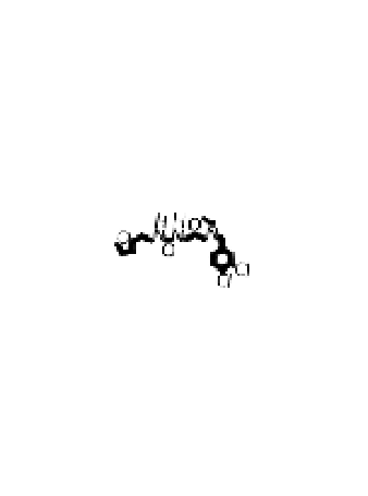 O=C(NCCc1ccco1)NCC1CN(Cc2ccc(Cl)c(Cl)c2)CCO1